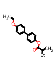 C=COc1ccc(-c2ccc(OC(=O)C(=C)CC)cc2)cc1